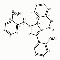 COc1ccccc1-c1cc(Nc2ccccc2C(=O)O)n(-c2ccccc2CN)n1